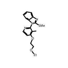 CCOCCOc1ccnc(-n2c(SC)nc3ccccc32)c1C